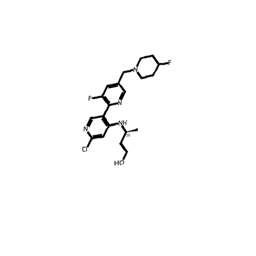 C[C@@H](CCO)Nc1cc(Cl)ncc1-c1ncc(CN2CCC(F)CC2)cc1F